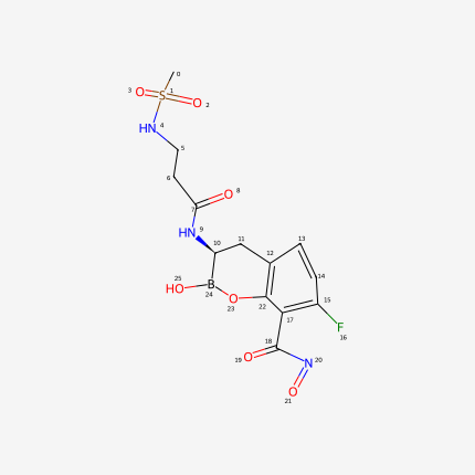 CS(=O)(=O)NCCC(=O)N[C@H]1Cc2ccc(F)c(C(=O)N=O)c2OB1O